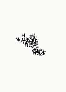 N#CCNC(=O)Cn1cc(C(O)(c2ccc3c(cnn3-c3ccc(F)cc3)c2)C(F)(F)F)c2ccccc21